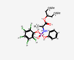 COCC(COC)OC(=O)C(C)NP(=O)(Oc1ccccc1)Oc1c(F)c(F)c(F)c(F)c1F